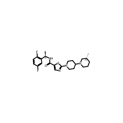 C[C@@H]1CCCN(C2CCN(c3ncc(C(=O)N[C@H](C)c4cc(F)ccc4F)s3)CC2)C1